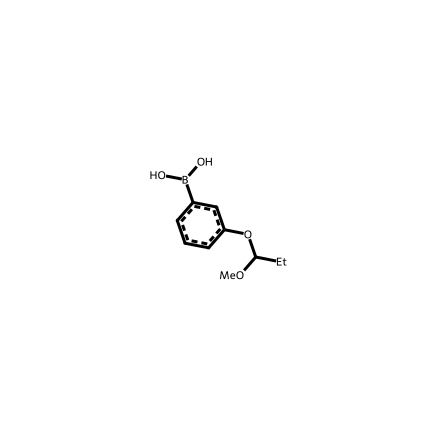 CCC(OC)Oc1cccc(B(O)O)c1